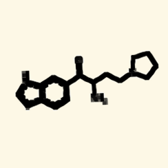 NC(CCN1CCCC1)C(=O)c1ccc2[c]c[nH]c2c1